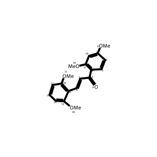 COc1ccc(C(=O)C=Cc2c(OC)cccc2OC)c(OC)c1